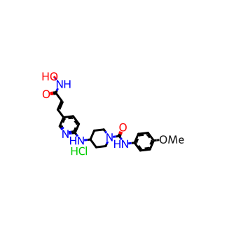 COc1ccc(NC(=O)N2CCC(Nc3ccc(C=CC(=O)NO)cn3)CC2)cc1.Cl